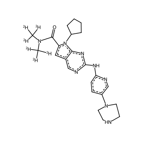 [2H]C([2H])([2H])N(C(=O)c1cc2cnc(Nc3ccc(N4CCNCC4)cn3)nc2n1C1CCCC1)C([2H])([2H])[2H]